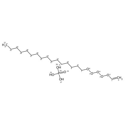 C=COOOOOCCCCCCCCCCCCCCCC.O=P(O)(O)O